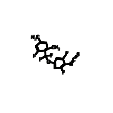 Cc1cc(C)c(C(F)(F)Oc2cc(F)c(N=C=S)c(F)c2)c(F)c1